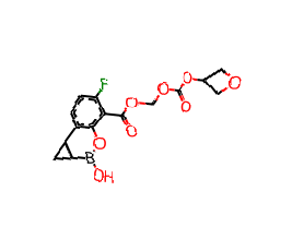 O=C(OCOC(=O)c1c(F)ccc2c1OB(O)C1CC21)OC1COC1